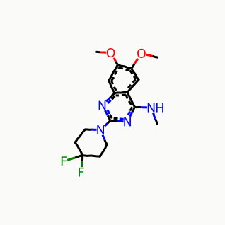 CNc1nc(N2CCC(F)(F)CC2)nc2cc(OC)c(OC)cc12